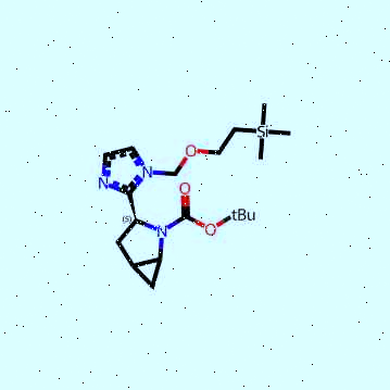 CC(C)(C)OC(=O)N1C2CC2C[C@H]1c1nccn1COCC[Si](C)(C)C